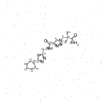 NC(=O)C(F)(F)Cn1cc(C(=O)NCc2nnc(-c3ccccc3)s2)nn1